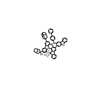 CCC1(c2ccc3c(c2)c2cc(C45CC6CC(CC(C6)C4)C5)cc4c2n3-c2c3c(cc5c2C(C)(C)c2ccccc2-5)-c2cc5oc6ccccc6c5cc2N(c2ccc(-c5ccccc5)cc2)B34)CC2CCC(C2)C1